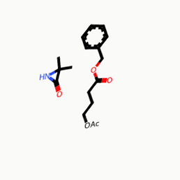 CC(=O)OCCCC(=O)OCc1ccccc1.CC1(C)NC1=O